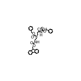 O=C(NCCN(CC[C@H](NC(=O)OCc1ccccc1)C(=O)O)C(=O)OCc1ccccc1)OCC1c2ccccc2-c2ccccc21